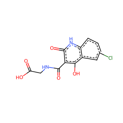 O=C(O)CNC(=O)c1c(O)c2cc(Cl)ccc2[nH]c1=O